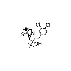 CC(C)(C)C(O)(CCc1ccc(Cl)c(Cl)c1)Cn1nc[nH]c1=S